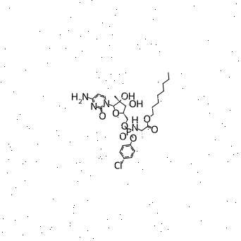 CCCCCCCCOC(=O)[C@H](C)NP(=O)(OC[C@H]1OC(n2ccc(N)nc2=O)[C@](C)(O)[C@@H]1O)Oc1ccc(Cl)cc1